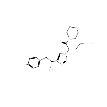 N[C@@H](Cc1ccc(O)cc1)c1cn([C@@H](CCC(=O)O)C(=O)N2CCNCC2)nn1